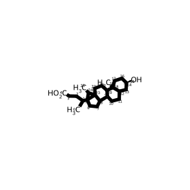 CC(CCC(=O)O)C12CCC3C4CCC5C[C@H](O)CCC5(C)C4CCC31C2C